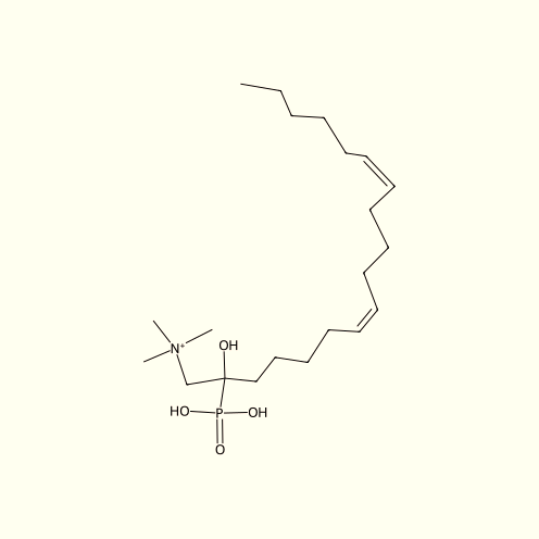 CCCCC/C=C\CCC/C=C\CCCCC(O)(C[N+](C)(C)C)P(=O)(O)O